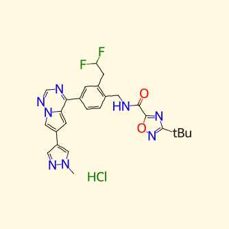 Cl.Cn1cc(-c2cc3c(-c4ccc(CNC(=O)c5nc(C(C)(C)C)no5)c(CC(F)F)c4)ncnn3c2)cn1